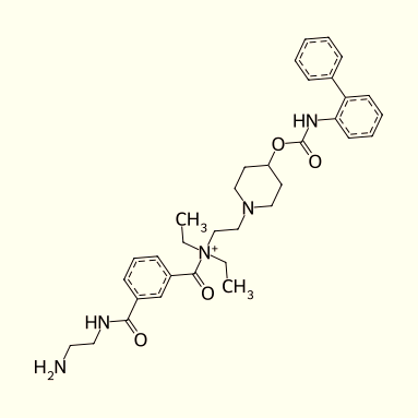 CC[N+](CC)(CCN1CCC(OC(=O)Nc2ccccc2-c2ccccc2)CC1)C(=O)c1cccc(C(=O)NCCN)c1